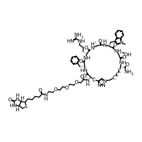 C[C@H]1NC(=O)[C@@H](CCCNC(=N)N)NC(=O)[C@@H](Cc2ccccc2)NC(=O)[C@@H](NC(=O)COCCOCCOCCNC(=O)CCCCC2SC[C@@H]3NC(=O)N[C@H]23)Cc2cn(nn2)CCCC[C@@H](C(N)=O)NC(=O)[C@@H](CO)NC(=O)[C@H](Cc2cn(C)c3ccccc23)NC1=O